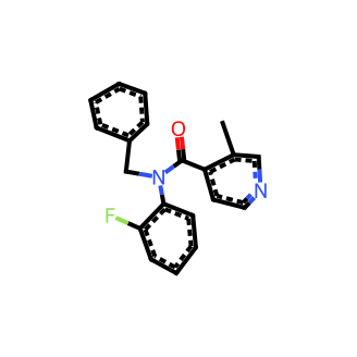 Cc1cnccc1C(=O)N(Cc1ccccc1)c1ccccc1F